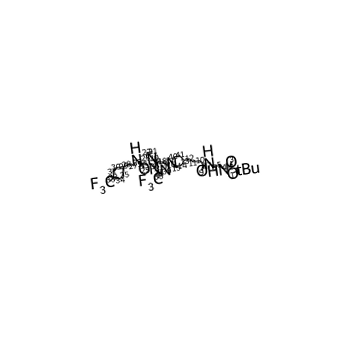 CC(C)(C)OC(=O)NCCNC(=O)CCCC1CCN(c2cc(N3CC[C@H]3C(=O)NCCc3ccc(C(F)(F)F)cc3)nc(C(F)(F)F)n2)CC1